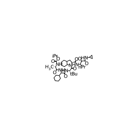 CCCC(NC(=O)[C@@H]1CC2CCCCC2N1C(=O)[C@@H](NC(=O)[C@@H](NC(=O)[C@H](C)NC(=O)OC(C)C)C1CCCCC1)C(C)(C)C)C(=O)C(=O)NC1CC1